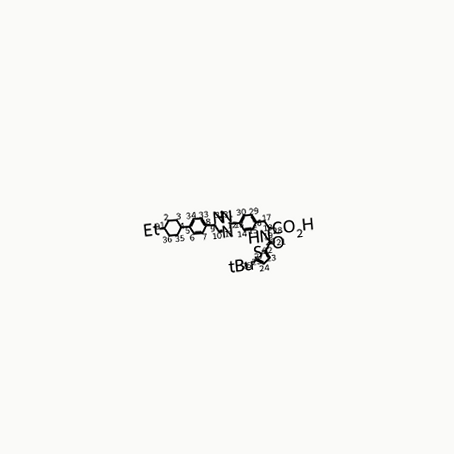 CCC1CCC(c2ccc(-c3cnc(-c4ccc(CC(NC(=O)c5ccc(C(C)(C)C)s5)C(=O)O)cc4)nn3)cc2)CC1